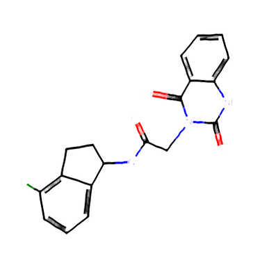 O=C(Cn1c(=O)[nH]c2ccccc2c1=O)NC1CCc2c(F)cccc21